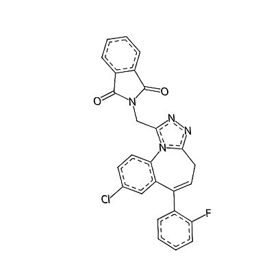 O=C1c2ccccc2C(=O)N1Cc1nnc2n1-c1ccc(Cl)cc1C(c1ccccc1F)=CC2